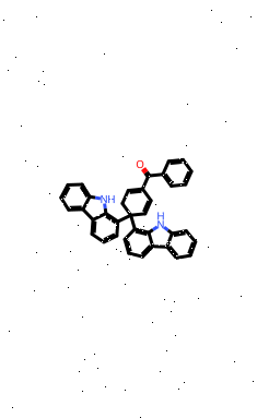 O=C(C1=CCC(c2cccc3c2[nH]c2ccccc23)(c2cccc3c2[nH]c2ccccc23)C=C1)c1ccccc1